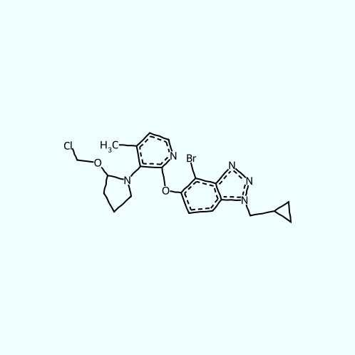 Cc1ccnc(Oc2ccc3c(nnn3CC3CC3)c2Br)c1N1CCCC1OCCl